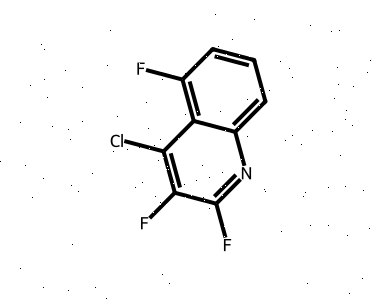 Fc1nc2cccc(F)c2c(Cl)c1F